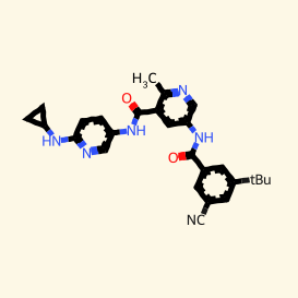 Cc1ncc(NC(=O)c2cc(C#N)cc(C(C)(C)C)c2)cc1C(=O)Nc1ccc(NC2CC2)nc1